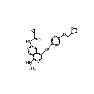 CNc1ncc(C#Cc2ccc(OCC3CCO3)cc2)c2cc(NC(=O)C3CC3)ncc12